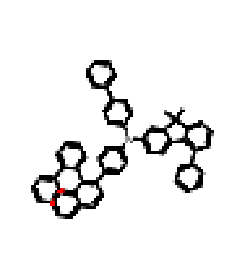 CC1(C)c2cc(N(c3ccc(-c4ccccc4)cc3)c3ccc(-c4ccc5ccccc5c4-c4ccccc4-c4ccccc4)cc3)ccc2-c2c(-c3ccccc3)cccc21